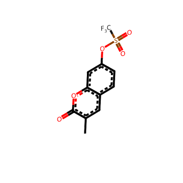 Cc1cc2ccc(OS(=O)(=O)C(F)(F)F)cc2oc1=O